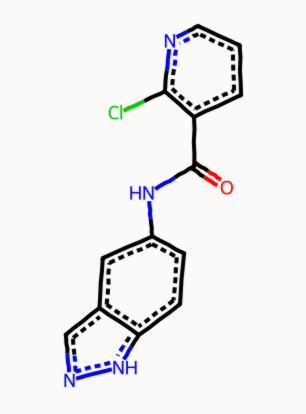 O=C(Nc1ccc2[nH]ncc2c1)c1cccnc1Cl